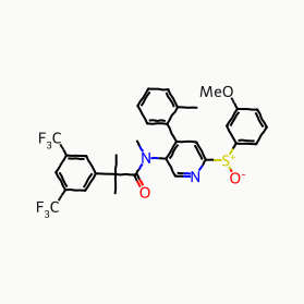 COc1cccc([S+]([O-])c2cc(-c3ccccc3C)c(N(C)C(=O)C(C)(C)c3cc(C(F)(F)F)cc(C(F)(F)F)c3)cn2)c1